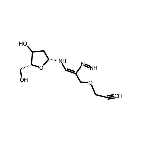 C#CCOC/C(=C/N[C@H]1CC(O)[C@@H](CO)O1)N=N